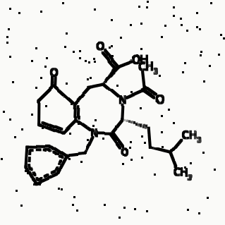 CC(=O)N1[C@H](CCC(C)C)C(=O)N(Cc2ccccc2)C2=C(C[C@H]1C(=O)O)C(=O)CC=C2